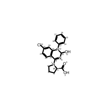 O=C(O)[C@H]1CCCN1C1=NC(O)N(c2ccccc2)c2cc(Cl)ccc21